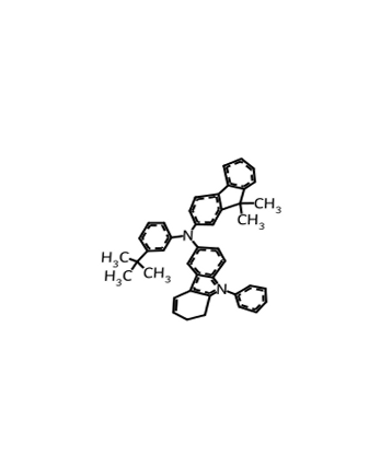 CC(C)(C)c1cccc(N(c2ccc3c(c2)C(C)(C)c2ccccc2-3)c2ccc3c(c2)c2c(n3-c3ccccc3)CCC=C2)c1